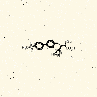 CCCC[C@@H](C(=O)O)[C@@H](Cc1ccc(-c2ccc(S(C)(=O)=O)cc2)cc1)c1nn[nH]n1